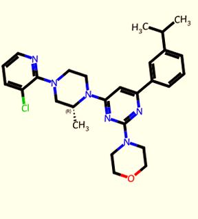 CC(C)c1cccc(-c2cc(N3CCN(c4ncccc4Cl)C[C@H]3C)nc(N3CCOCC3)n2)c1